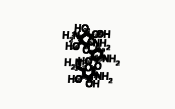 NCC1O[C@H](O[C@@H]2C(N)C[C@@H](N)C(O[C@@H]3OC(CO)[C@H](O)C(N)C3O)[C@H]2O)C(N)[C@@H](O)[C@@H]1O